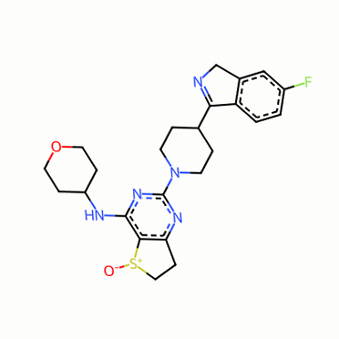 [O-][S+]1CCc2nc(N3CCC(C4=NCc5cc(F)ccc54)CC3)nc(NC3CCOCC3)c21